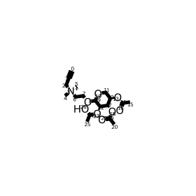 C#CC[N+](C)(C)CCOC1OC[C@@H](OC(C)=O)[C@@H](OC(C)=O)[C@H]1OC(C)O